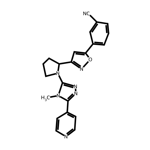 Cn1c(-c2ccncc2)nnc1N1CCCC1c1cc(-c2cccc(C#N)c2)on1